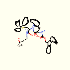 COC(=O)CCCNC(=O)C(CSC(c1ccccc1)(c1ccccc1)c1ccccc1)NC(=O)C(Cc1ccccc1)NC(=O)OCC1c2ccccc2-c2ccccc21